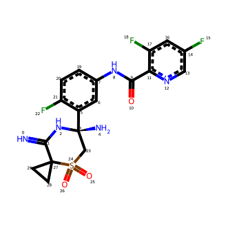 N=C1N[C@](N)(c2cc(NC(=O)c3ncc(F)cc3F)ccc2F)CS(=O)(=O)C12CC2